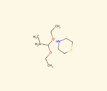 C1CSCCN1.CCOC(OCC)[SiH2]C